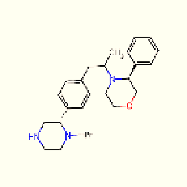 CC(C)N1CCNC[C@@H]1c1ccc(CC(C)N2CCOC[C@@H]2c2ccccc2)cc1